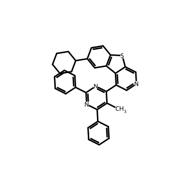 Cc1c(-c2ccccc2)nc(-c2ccccc2)nc1-c1cncc2sc3ccc(C4CCCCC4)cc3c12